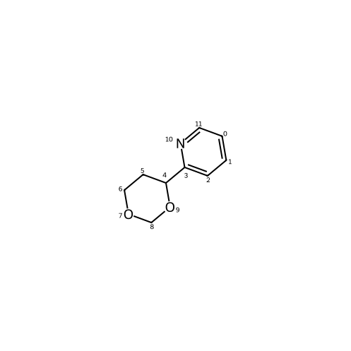 c1ccc(C2CCOCO2)nc1